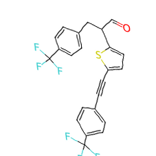 O=CC(Cc1ccc(C(F)(F)F)cc1)c1ccc(C#Cc2ccc(C(F)(F)F)cc2)s1